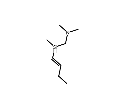 CCC=C[SiH](C)CN(C)C